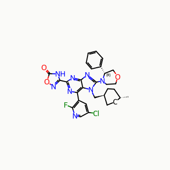 C[C@H]1CC[C@H](Cn2c(N3CCOC[C@H]3c3ccccc3)nc3nc(-c4noc(=O)[nH]4)nc(-c4cc(Cl)cnc4F)c32)CC1